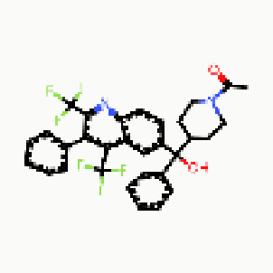 CC(=O)N1CCC(C(O)(c2ccccc2)c2ccc3nc(C(F)(F)F)c(-c4ccccc4)c(C(F)(F)F)c3c2)CC1